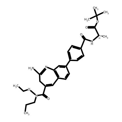 CCCN(OCC)C(=O)C1=Cc2ccc(-c3ccc(C(=O)N[C@@H](C)C(=O)OC(C)(C)C)cc3)cc2N=C(N)C1